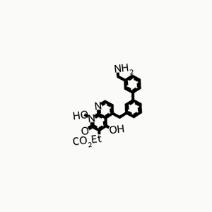 CCOC(=O)c1c(O)c2c(Cc3cccc(-c4cccc(CN)c4)c3)ccnc2n(O)c1=O